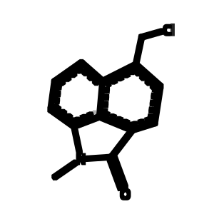 CN1C(=O)c2ccc(CCl)c3cccc1c23